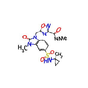 CNC(=O)c1noc(Cn2c(=O)n(C)c3cc(S(=O)(=O)NC4(C)CC4)ccc32)n1